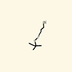 CC(C)(C)OOCCO